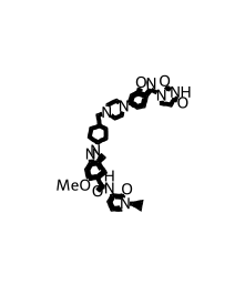 COc1cc2nn(C3CCC(CN4CCN(c5ccc6c(N7CCC(=O)NC7=O)noc6c5)CC4)CC3)cc2cc1C(=O)Nc1cccn(C2CC2)c1=O